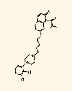 CC(C)C(=O)n1c(=O)ccc2ccc(OCCCCN3CCN(c4cccc(Cl)c4Cl)CC3)cc21